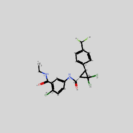 O=C(NCC(F)(F)F)c1cc(NC(=O)[C@@H]2[C@@H](c3ccc(C(F)F)cc3)C2(Cl)Cl)ccc1Cl